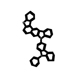 c1ccc(-n2c3ccccc3c3cc(-n4c5ccccc5c5cc6c(ccc7oc8ccccc8c76)cc54)ccc32)cc1